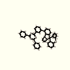 C1=CC2c3c(-c4cccc(-c5nc(-c6ccccc6)nc(-c6ccccc6)n5)c4)cccc3C3(c4ccccc4Oc4ccccc43)C2C=C1